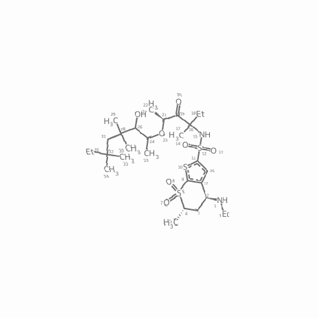 CCN[C@H]1C[C@H](C)S(=O)(=O)c2sc(S(=O)(=O)NC(C)(CC)C(=O)[C@H](C)OC(C)C(O)C(C)(C)CC(C)(C)CC)cc21